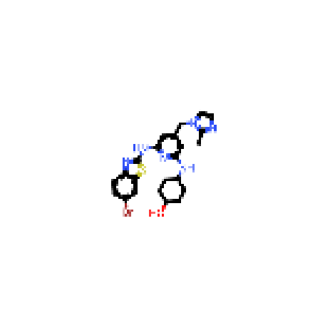 Cc1nccn1Cc1cc(Nc2nc3ccc(Br)cc3s2)nc(NC2CCC(O)CC2)c1